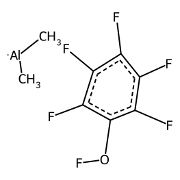 FOc1c(F)c(F)c(F)c(F)c1F.[CH3][Al][CH3]